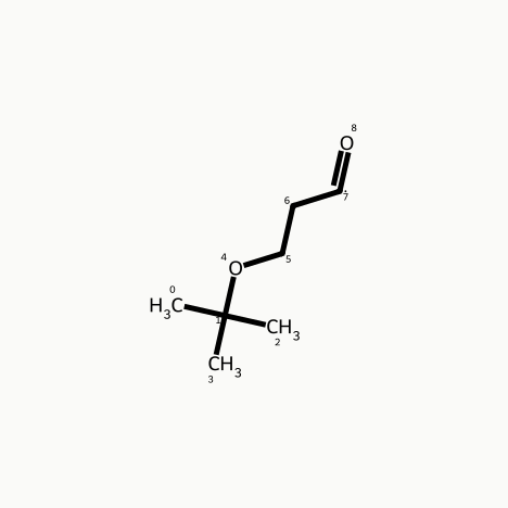 CC(C)(C)OCC[C]=O